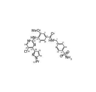 COc1cc(C(=O)NCc2ccc(S(N)(=O)=O)cc2)ccc1Nc1ncc(Cl)c(-c2ccn(C(C)C)n2)n1